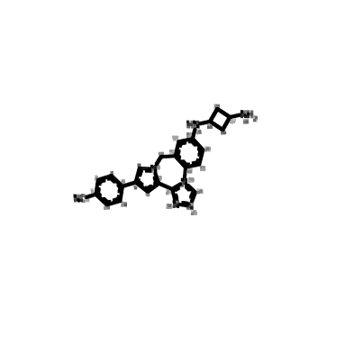 N#Cc1ccc(-c2cc3n(c2)Cc2cc(NC4CC(N)C4)ccc2-n2cnnc2-3)cc1